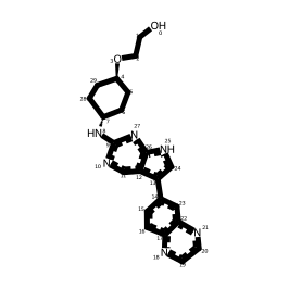 OCCO[C@H]1CC[C@H](Nc2ncc3c(-c4ccc5nccnc5c4)c[nH]c3n2)CC1